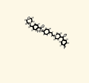 O=C(NC1CCC(CCN2CCC(C(=O)c3ccc(F)cc3)CC2)CC1)c1ccc(CN2CCOCC2)cc1